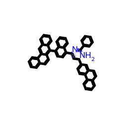 N/C(=N\C(=C/Cc1ccc2c(ccc3ccccc32)c1)c1ccc(-c2c3ccccc3cc3c2ccc2ccccc23)c2ccccc12)c1ccccc1